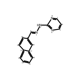 C(=NNc1ncccn1)c1ccc2ccccc2c1